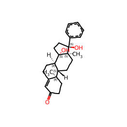 C[C@]12CC[C@H]3[C@@H](CCC4=CC(=O)CC[C@@]43C)[C@@]1(O)CC[C@]2(O)c1ccccc1